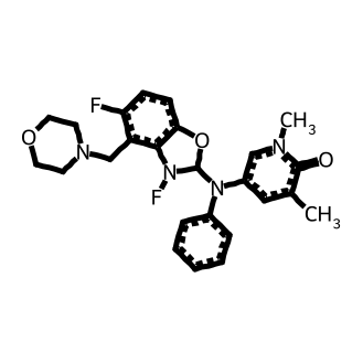 Cc1cc(N(c2ccccc2)C2Oc3ccc(F)c(CN4CCOCC4)c3N2F)cn(C)c1=O